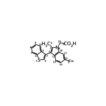 Cc1c(-c2csc3ccccc23)c2ccc(F)cc2n1CC(=O)O